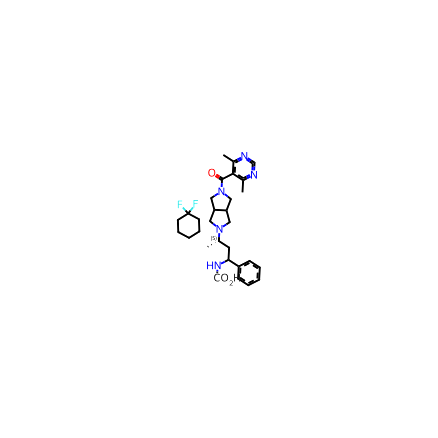 Cc1ncnc(C)c1C(=O)N1CC2CN([C@@H](C)CC(NC(=O)O)c3ccccc3)CC2C1.FC1(F)CCCCC1